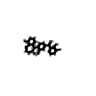 Cc1cccc(C(=O)c2ccc(N3C=CC=Nc4c(C)cccc43)c(N)c2)c1C